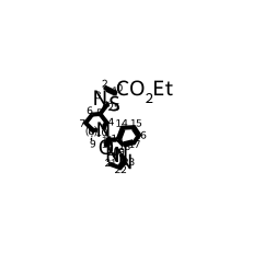 CCOC(=O)c1cnc(C2CC[C@@H](C)N(C(=O)c3ccccc3-n3nccn3)C2)s1